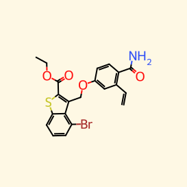 C=Cc1cc(OCc2c(C(=O)OCC)sc3cccc(Br)c23)ccc1C(N)=O